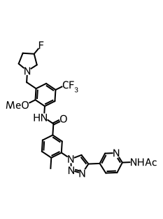 COc1c(CN2CCC(F)C2)cc(C(F)(F)F)cc1NC(=O)c1ccc(C)c(-n2cc(-c3ccc(NC(C)=O)nc3)nn2)c1